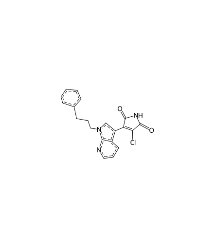 O=C1NC(=O)C(c2cn(CCCc3ccccc3)c3ncccc23)=C1Cl